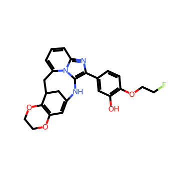 Oc1cc(-c2nc3cccc4n3c2NC2=CC3=C(OCCO3)C(C2)C4)ccc1OCCF